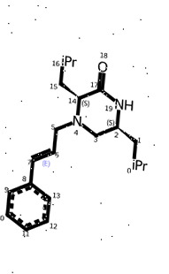 CC(C)C[C@H]1CN(C/C=C/c2ccccc2)[C@@H](CC(C)C)C(=O)N1